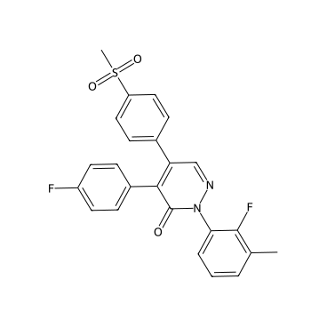 Cc1cccc(-n2ncc(-c3ccc(S(C)(=O)=O)cc3)c(-c3ccc(F)cc3)c2=O)c1F